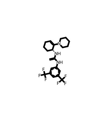 C=C(Nc1cc(C(F)(F)F)cc(C(F)(F)F)c1)N[C@@H]1CCCC=C1N1CCCCC1